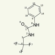 O=C(NCC(F)(F)F)Nc1cc[c]cc1